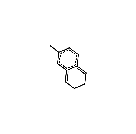 Cc1ccc2c(c1)=CCCC=2